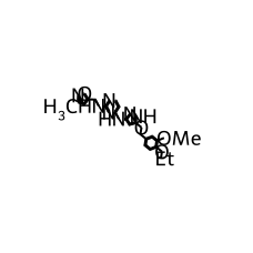 CCOc1ccc(COc2cc(Nc3ccnc(NCc4cc(C)no4)n3)n[nH]2)cc1OC